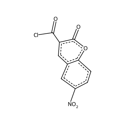 O=C(Cl)c1cc2cc([N+](=O)[O-])ccc2oc1=O